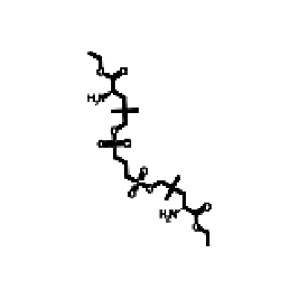 CCOC(=O)[C@H](N)CC(C)(C)COS(=O)(=O)CCCS(=O)(=O)OCC(C)(C)C[C@@H](N)C(=O)OCC